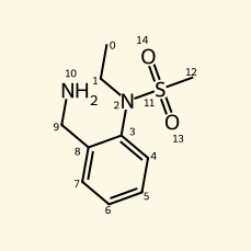 CCN(c1ccccc1CN)S(C)(=O)=O